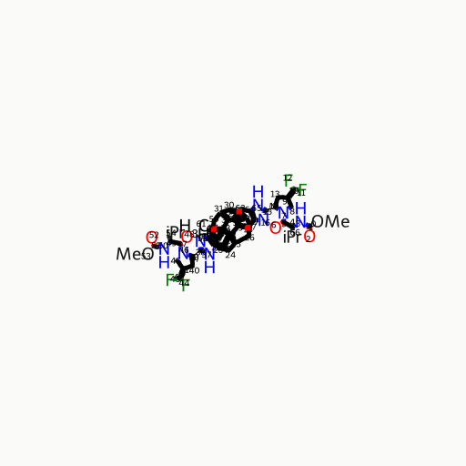 COC(=O)NC(C(=O)N1CC(=C(F)F)C[C@H]1c1nc2cc(-c3cc4ccc3CCc3ccc(c(-c5ccc6[nH]c([C@@H]7CC(=C(F)F)CN7C(=O)C(NC(=O)OC)C(C)C)nc6c5)c3)C[C@H]4C)ccc2[nH]1)C(C)C